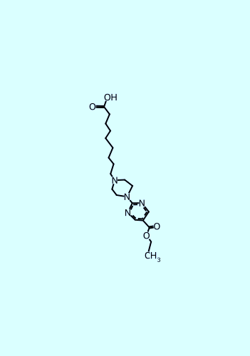 CCOC(=O)c1cnc(N2CCN(CCCCCCCCC(=O)O)CC2)nc1